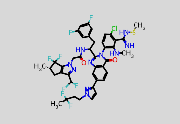 CNc1c(-n2c(C(Cc3cc(F)cc(F)c3)NC(=O)Cn3nc(C(F)F)c4c3C(F)(F)[C@@H](C)C4)nc3cc(-c4ccn(CCC(C)(F)F)n4)ccc3c2=O)ccc(Cl)c1C(=N)NSC